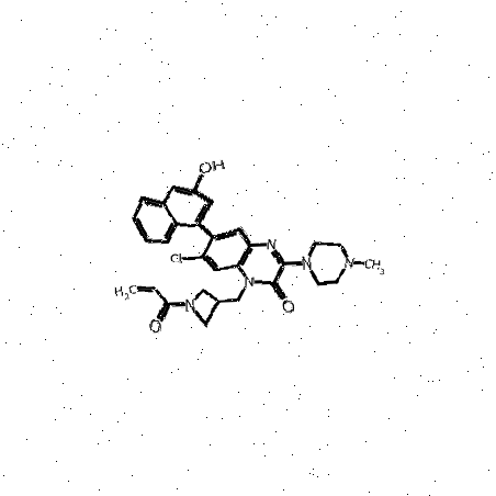 C=CC(=O)N1CC(Cn2c(=O)c(N3CCN(C)CC3)nc3cc(-c4cc(O)cc5ccccc45)c(Cl)cc32)C1